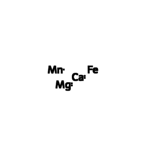 [Ca].[Fe].[Mg].[Mn]